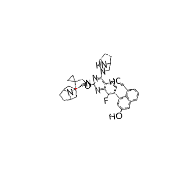 C#Cc1cccc2cc(O)cc(-c3ccc4c(N5CC6CCC(C5)N6)nc(OCC5(CN6C7CCC6CC(C#N)C7)CC5)nc4c3F)c12